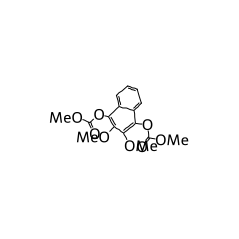 COC(=O)Oc1c(OC)c(OC)c(OC(=O)OC)c2ccccc12